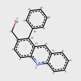 BrCc1ccc2nc3ccccc3cc2c1-c1ccccc1